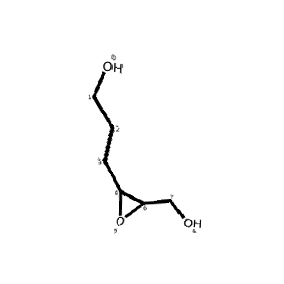 OCCCC1OC1CO